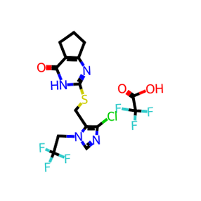 O=C(O)C(F)(F)F.O=c1[nH]c(SCc2c(Cl)ncn2CC(F)(F)F)nc2c1CCC2